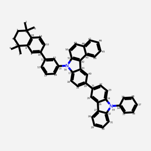 CC1(C)CCC(C)(C)c2cc(-c3cccc(-n4c5ccc(-c6ccc7c(c6)c6ccccc6n7-c6ccccc6)cc5c5c6ccccc6ccc54)c3)ccc21